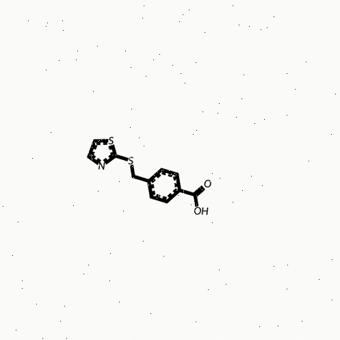 O=C(O)c1ccc(CSc2nccs2)cc1